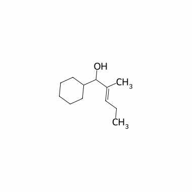 CCC=C(C)C(O)C1CCCCC1